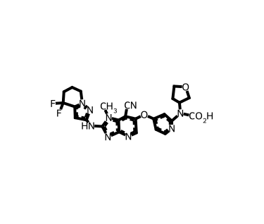 Cn1c(Nc2cc3n(n2)CCCC3(F)F)nc2ncc(Oc3ccnc(N(C(=O)O)C4CCOC4)c3)c(C#N)c21